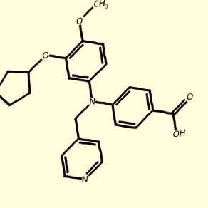 COc1ccc(N(Cc2ccncc2)c2ccc(C(=O)O)cc2)cc1OC1CCCC1